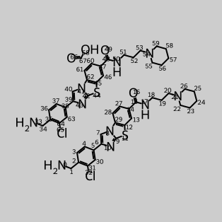 NCc1ccc(-c2cn3c(n2)sc2cc(C(=O)NCCCN4CCCCC4)ccc23)cc1Cl.NCc1ccc(-c2cn3c(n2)sc2cc(C(=O)NCCCN4CCCCC4)ccc23)cc1Cl.O=CO